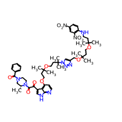 C[C@@H]1CN(C(=O)c2ccccc2)CCN1C(=O)C(=O)c1c[nH]c2nccc(OCCC(C)(C)OCCC(C)(C)n3cc(COC(C)(C)CCOC(C)(C)CCNc4ccc([N+](=O)[O-])cc4[N+](=O)[O-])nn3)c12